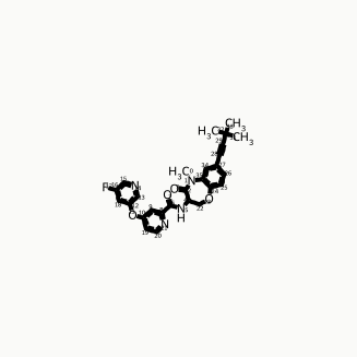 CN1C(=O)C(NC(=O)c2cc(Oc3cncc(F)c3)ccn2)COc2ccc(C#CC(C)(C)C)cc21